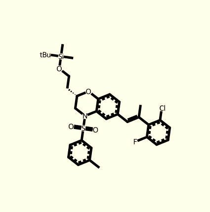 C/C(=C\c1ccc2c(c1)N(S(=O)(=O)c1cccc(C)c1)C[C@H](CCO[Si](C)(C)C(C)(C)C)O2)c1c(F)cccc1Cl